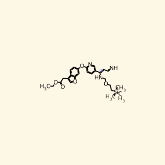 CCOC(=O)Cc1coc2cc(Oc3ccc(/C(=C/C=N)NCOCC[Si](C)(C)C)cn3)ccc12